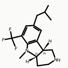 CC(C)Cc1cc2c(c(C(F)(F)F)c1)N(C)[C@H]1CCNC[C@@H]21